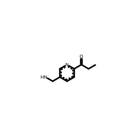 CCC(=O)c1ccc(C[NH])cn1